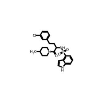 CC1CCN(C(=O)C(CCc2cccc(Cl)c2)NS(=O)(=O)c2cccc3[nH]ccc23)CC1